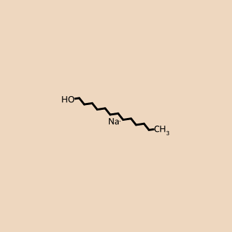 CCCCCCCCCCCCCO.[Na]